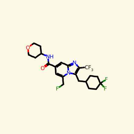 O=C(NC1CCOCC1)c1cc(CF)n2c(CC3CCC(F)(F)CC3)c(C(F)(F)F)nc2c1